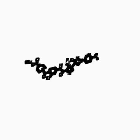 CN(C)c1ccc(-n2cc(-c3cnc(C(=O)Nc4ccc(C(=O)N5CCN(C(=O)OC(C)(C)C)CC5)c(Cl)c4)n3C)c(C(F)(F)F)n2)cn1